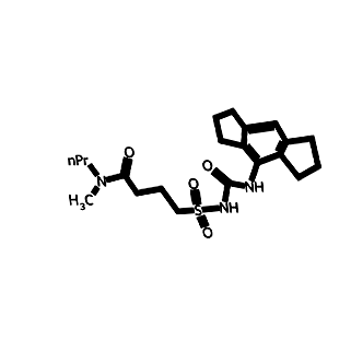 CCCN(C)C(=O)CCCS(=O)(=O)NC(=O)Nc1c2c(cc3c1CCC3)CCC2